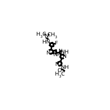 CCC(=O)Nc1cncc(-c2cnc3[nH]nc(-c4cc5c(-c6cc(F)cc(NCCN(C)C)c6)cncc5[nH]4)c3c2)c1